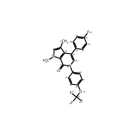 Cc1cn(C)c2c(=O)n(-c3ccc(OC(F)(F)F)cc3)cc(-c3ccc(F)cc3)c12